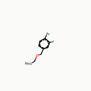 COCOCc1ccc(C(C)=O)c(F)c1